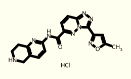 Cc1cc(-c2nnc3ccc(C(=O)Nc4ccc5c(n4)CCNC5)nn23)no1.Cl